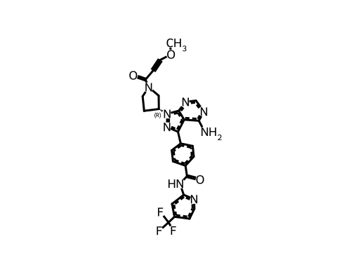 COC#CC(=O)N1CC[C@@H](n2nc(-c3ccc(C(=O)Nc4cc(C(F)(F)F)ccn4)cc3)c3c(N)ncnc32)C1